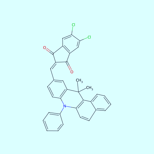 CC1(C)c2cc(C=C3C(=O)c4cc(Cl)c(Cl)cc4C3=O)ccc2N(c2ccccc2)c2ccc3ccccc3c21